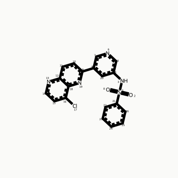 O=S(=O)(Nc1cncc(-c2ccc3nccc(Cl)c3n2)c1)c1ccccc1